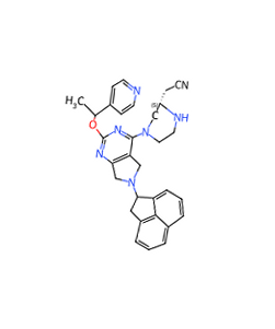 CC(Oc1nc2c(c(N3CCN[C@@H](CC#N)C3)n1)CN(C1Cc3cccc4cccc1c34)C2)c1ccncc1